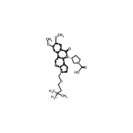 COc1cc2c(=O)n([C@@H]3CCN(C(=O)O)C3)c3c(cnc4c3ccn4COCC[Si](C)(C)C)c2cc1OC